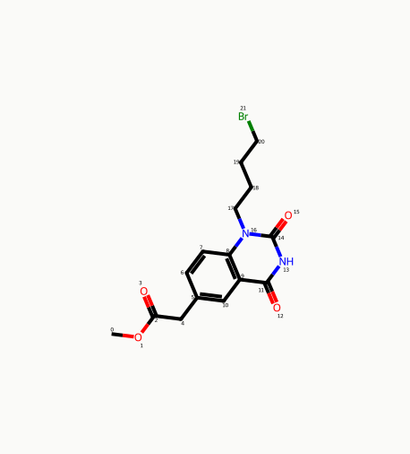 COC(=O)Cc1ccc2c(c1)c(=O)[nH]c(=O)n2CCCCBr